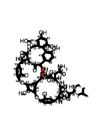 CN[C@H](CC(C)C)C(=O)N[C@H]1C(=O)N[C@@H](CC(N)=O)C(=O)N[C@H]2/C(=N\O)N[C@H]3C(=O)N[C@H](C(=O)N[C@H](CO)c4cc(O)cc(O)c4-c4cc3ccc4O)[C@H](O)c3ccc(c(Cl)c3)Oc3cc2cc(c3O)Oc2ccc(cc2Cl)[C@H]1O